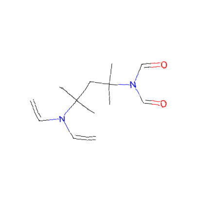 C=CN(C=C)C(C)(C)CC(C)(C)N(C=O)C=O